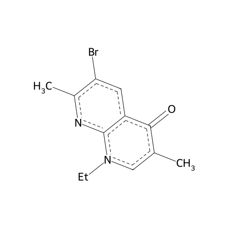 CCn1cc(C)c(=O)c2cc(Br)c(C)nc21